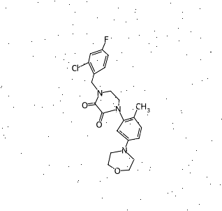 Cc1ccc(N2CCOCC2)cc1N1CCN(Cc2ccc(F)cc2Cl)C(=O)C1=O